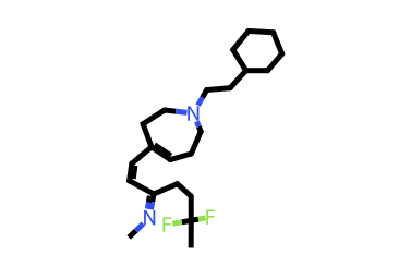 C/N=C(\C=C/C1=CCCN(CCC2CCCCC2)CC1)CCC(C)(F)F